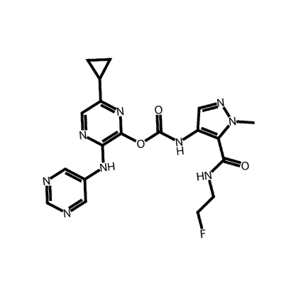 Cn1ncc(NC(=O)Oc2nc(C3CC3)cnc2Nc2cncnc2)c1C(=O)NCCF